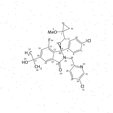 COC1(CO[C@]2(c3ccc(Cl)cc3)c3c(F)cc(C(C)(C)O)cc3C(=O)N2Cc2ccc(Cl)cn2)CC1